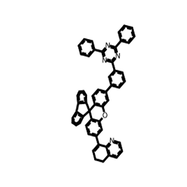 C1=C(c2ccc3c(c2)Oc2cc(-c4cccc(-c5nc(-c6ccccc6)nc(-c6ccccc6)n5)c4)ccc2C32c3ccccc3-c3ccccc32)c2ncccc2CC1